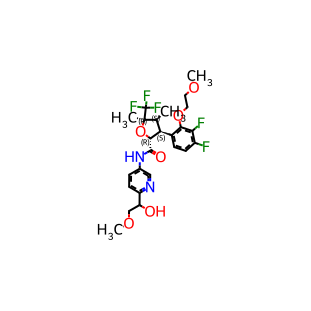 COCCOc1c([C@H]2[C@H](C(=O)Nc3ccc(C(O)COC)nc3)O[C@@](C)(C(F)(F)F)[C@H]2C)ccc(F)c1F